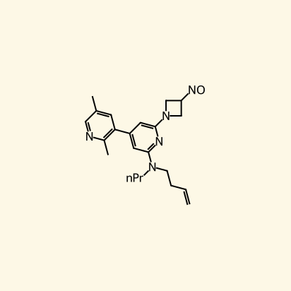 C=CCCN(CCC)c1cc(-c2cc(C)cnc2C)cc(N2CC(N=O)C2)n1